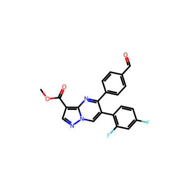 COC(=O)c1cnn2cc(-c3ccc(F)cc3F)c(-c3ccc(C=O)cc3)nc12